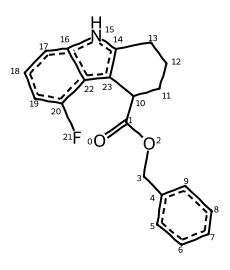 O=C(OCc1ccccc1)C1CCCc2[nH]c3cccc(F)c3c21